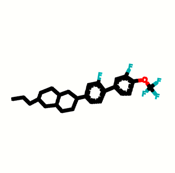 CCCC1CCC2CC(c3ccc(-c4ccc(OC(F)(F)F)c(F)c4)c(F)c3)CCC2C1